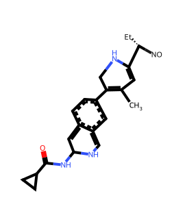 CC[C@H](N=O)C1=CC(C)=C(c2ccc3c(c2)=CNC(NC(=O)C2CC2)C=3)CN1